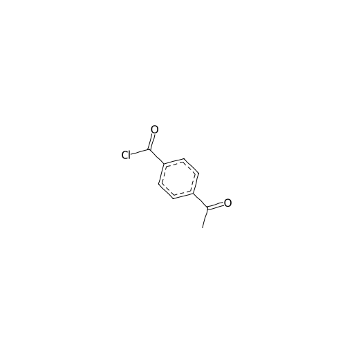 CC(=O)c1ccc(C(=O)Cl)cc1